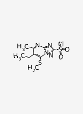 CCc1c(C)nc2nc(S(=O)(=O)Cl)nn2c1SC